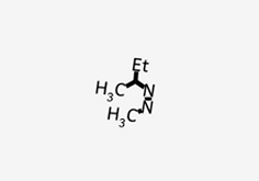 CCC(C)/N=N\C